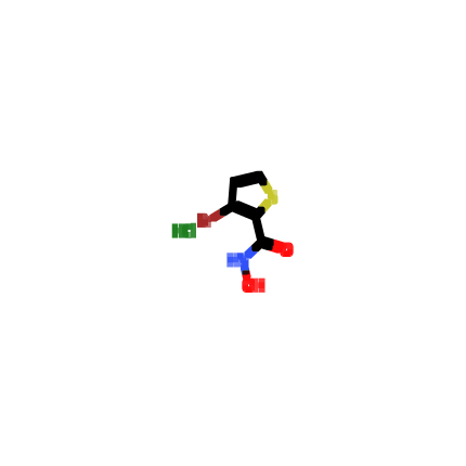 Cl.O=C(NO)c1sccc1Br